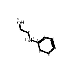 OCCNC1=CC=CCC1